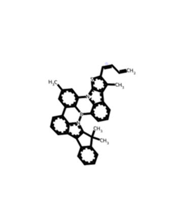 C=C/C=C\c1sc2c(c1C)c1cccc3c1n2-c1cc(C)cc2c1B3n1c3c(c4cccc-2c41)-c1ccccc1C3(C)C